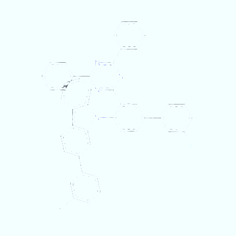 Cc1cccc(-c2ccc3c4ccccc4n(-c4ccc(-c5cc(F)cc(F)c5)cc4-c4nc(-c5ccccc5)nc(-c5ccccc5)n4)c3c2)c1